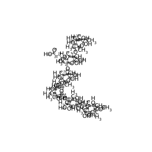 CCC1(O)O[C@](C)(COC[C@@]2(C)[C@H](C)C(C)(OC(=O)CCC(=O)O)[C@@H](COC[C@@]3(C)[C@H](C)C(C)(O)[C@@](C)(OCC4(O)O[C@](C)(COC[C@@]5(C)[C@H](C)C(C)(O)[C@@](C)(COC[C@@]6(C)[C@H](C)C(C)(O)[C@@](C)(COC)OC6(O)CO)OC5(O)CO)C(C)(O)[C@@H](C)[C@]4(C)O)OC3(O)CO)OC2(O)CO)C(C)(O)[C@@H](C)[C@]1(C)O